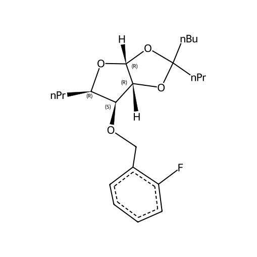 CCCCC1(CCC)O[C@H]2O[C@H](CCC)[C@H](OCc3ccccc3F)[C@H]2O1